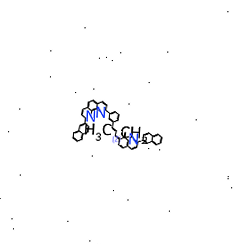 C=c1/c(=C\C=C(C)c2cccc(-c3ccc4ccc5ccc(-c6ccc7ccccc7c6)nc5c4n3)c2)ccc2ccc(-c3ccc4ccccc4c3)nc12